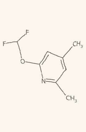 Cc1cc(C)nc(OC(F)F)c1